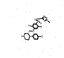 Cn1nnc(NS(=O)(=O)c2cc(F)c(OC[C@H]3CNCC[C@@H]3c3ccc(Cl)cc3)cc2F)n1